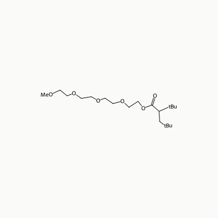 COCCOCCOCCOCCOC(=O)C(CC(C)(C)C)C(C)(C)C